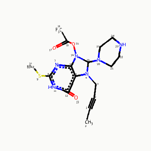 CC#CCN1c2c(nc(SC(C)(C)C)[nH]c2=O)N(OC(=O)C(F)(F)F)C1N1CCNCC1